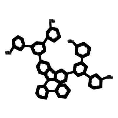 CC(C)(C)c1cccc(-c2cc(-c3cccc(C(C)(C)C)c3)cc(-c3ccc4c(c3)c3cc(-c5cc(-c6cccc(C(C)(C)C)c6)cc(-c6cccc(C(C)(C)C)c6)c5)ccc3n4-c3ccccc3-c3ccccc3)c2)c1